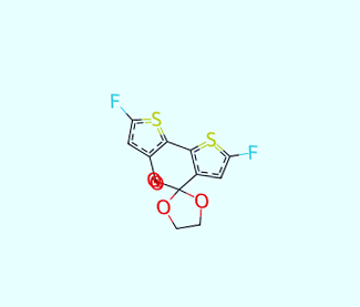 Fc1cc2c(s1)-c1sc(F)cc1C1(OCCO1)C21OCCO1